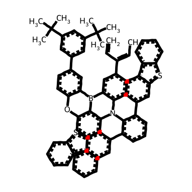 C=C/C(=C\C)c1ccc2c(c1)B1c3cc(-c4cc(C(C)(C)C)cc(C(C)(C)C)c4)ccc3Oc3cc(-c4ccccc4)cc(c31)N2c1c(-c2ccc3c(c2)sc2ccccc23)cccc1-c1ccc2c(c1)sc1ccccc12